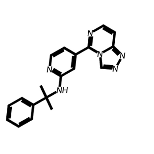 CC(C)(Nc1cc(-c2nccc3nncn23)ccn1)c1ccccc1